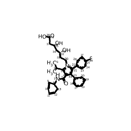 CC(C)c1c(C(=O)NC2C=CC=CC2)c(-c2ccccc2)c(-c2ccc(F)cc2)n1CC[C@@H](O)C[C@@H](O)CC(=O)O